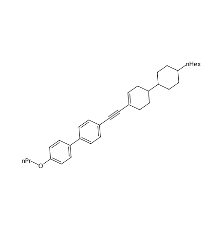 CCCCCCC1CCC(C2CC=C(C#Cc3ccc(-c4ccc(OCCC)cc4)cc3)CC2)CC1